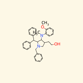 COc1ccccc1N(C)C1C(CCO)CN(Cc2ccccc2)C1C(c1ccccc1)c1ccccc1